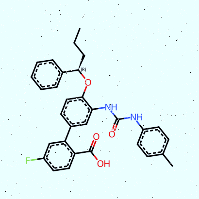 CCC[C@@H](Oc1ccc(-c2cc(F)ccc2C(=O)O)cc1NC(=O)Nc1ccc(C)cc1)c1ccccc1